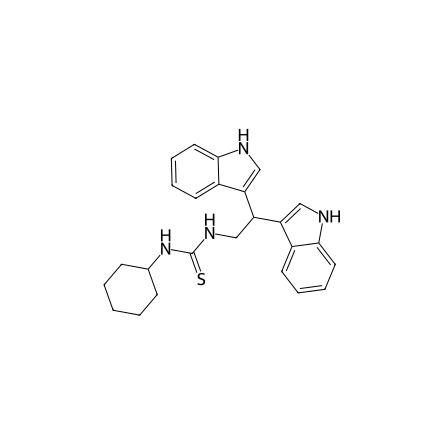 S=C(NCC(c1c[nH]c2ccccc12)c1c[nH]c2ccccc12)NC1CCCCC1